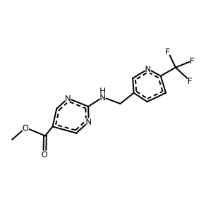 COC(=O)c1cnc(NCc2ccc(C(F)(F)F)nc2)nc1